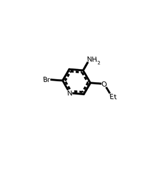 CCOc1cnc(Br)cc1N